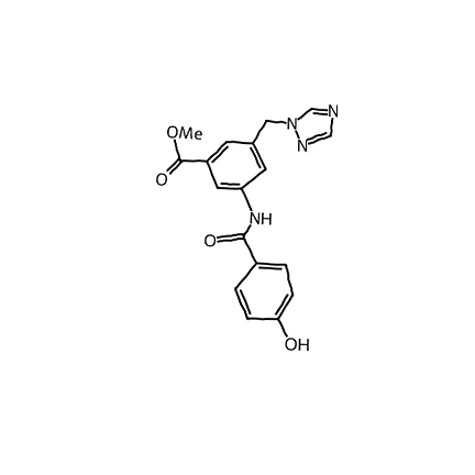 COC(=O)c1cc(Cn2cncn2)cc(NC(=O)c2ccc(O)cc2)c1